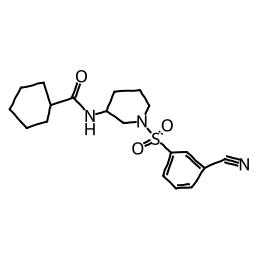 N#Cc1cccc(S(=O)(=O)N2CCCC(NC(=O)C3CCCCC3)C2)c1